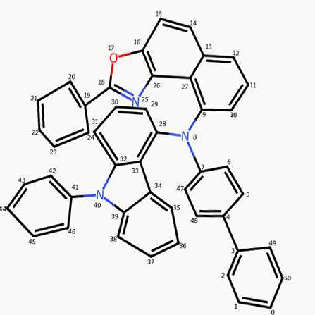 c1ccc(-c2ccc(N(c3cccc4ccc5oc(-c6ccccc6)nc5c34)c3cccc4c3c3ccccc3n4-c3ccccc3)cc2)cc1